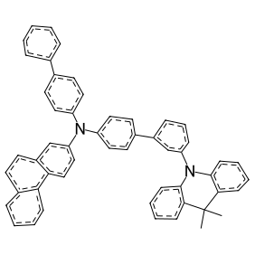 CC1(C)c2ccccc2N(c2cccc(-c3ccc(N(c4ccc(-c5ccccc5)cc4)c4ccc5c(ccc6ccccc65)c4)cc3)c2)c2ccccc21